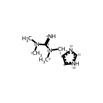 CN(C)C(=N)N(C)C.c1c[nH]cn1